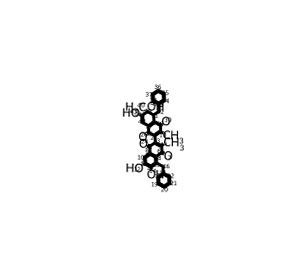 CC1=C(C2=C(C)C(=O)c3c(cc(O)c(O)c3Cc3ccccc3)C2=O)C(=O)C2=C(C1=O)C(Cc1ccccc1)C(C)(O)C(O)=C2